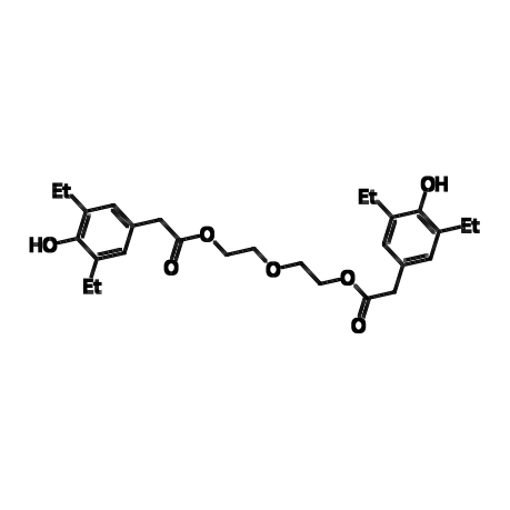 CCc1cc(CC(=O)OCCOCCOC(=O)Cc2cc(CC)c(O)c(CC)c2)cc(CC)c1O